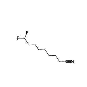 N#CCCCCCCCC(F)F